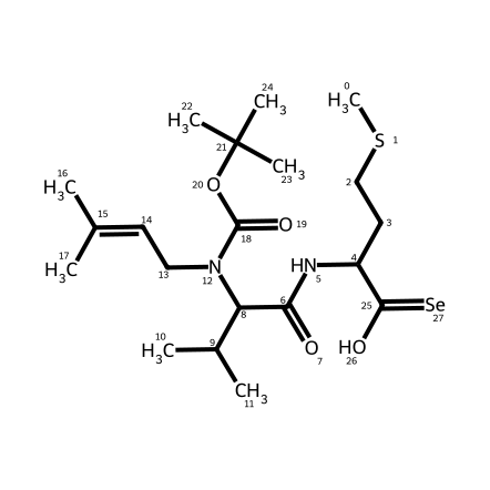 CSCCC(NC(=O)C(C(C)C)N(CC=C(C)C)C(=O)OC(C)(C)C)C(O)=[Se]